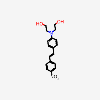 O=[N+]([O-])c1ccc(C=Cc2ccc(N(CCO)CCO)cc2)cc1